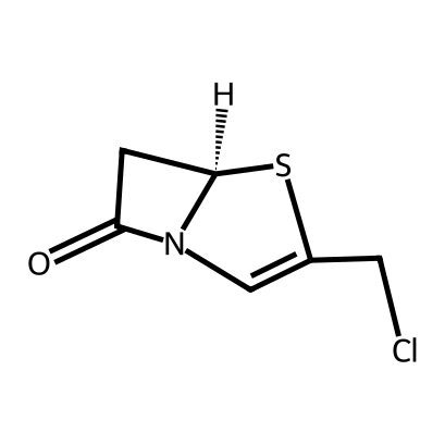 O=C1C[C@H]2SC(CCl)=CN12